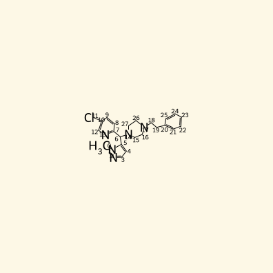 Cn1nccc1C(c1ccc(Cl)cn1)N1CCN(CCc2ccccc2)CC1